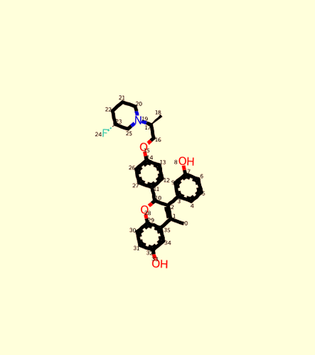 CC1=C(c2cccc(O)c2)C(c2ccc(OC[C@H](C)N3CCC[C@@H](F)C3)cc2)Oc2ccc(O)cc21